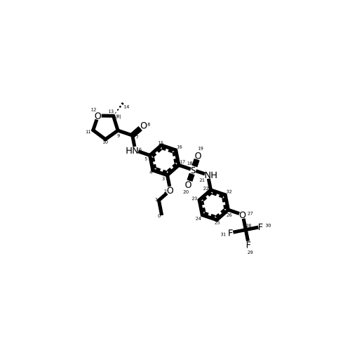 CCOc1cc(NC(=O)C2CCO[C@@H]2C)ccc1S(=O)(=O)Nc1cccc(OC(F)(F)F)c1